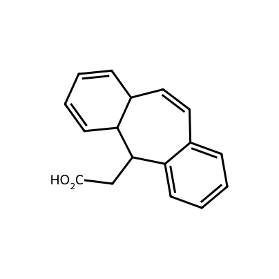 O=C(O)CC1c2ccccc2C=CC2C=CC=CC21